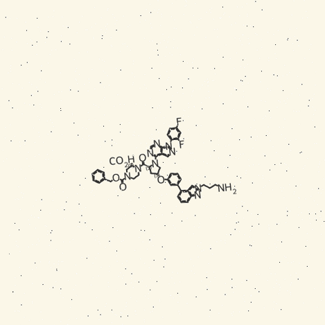 NCCCn1cc2c(-c3cccc(O[C@H]4C[C@@H](C(=O)N5CCN(C(=O)OCc6ccccc6)C[C@H]5C(=O)O)N(c5ncnc6c5cnn6-c5ccc(F)cc5F)C4)c3)cccc2n1